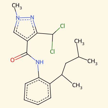 CC(C)CC(C)c1ccccc1NC(=O)c1cn(C)nc1C(Cl)Cl